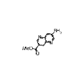 Bc1cnc2cc(C(=O)OC)cnc2c1